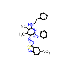 Cc1c(C#N)c(NCCc2ccccc2)nc(Nc2ccccc2)c1/N=N/c1snc2ccc([N+](=O)[O-])cc12